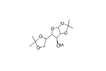 CC1(C)OCC(C2OC3OC(C)(C)OC3[C@H]2O)O1